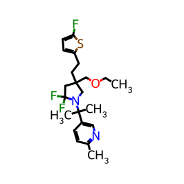 CCOCC1(CCc2ccc(F)s2)CN(C(C)(C)c2ccc(C)nc2)C(F)(F)C1